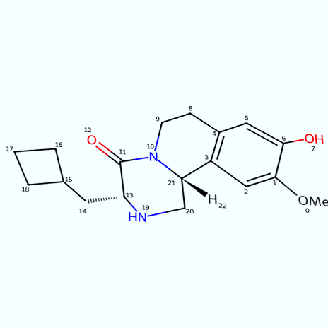 COc1cc2c(cc1O)CCN1C(=O)[C@@H](CC3CCC3)NC[C@@H]21